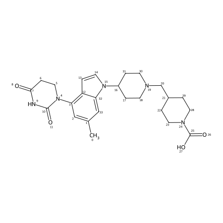 Cc1cc(N2CCC(=O)NC2=O)c2ccn(C3CCN(CC4CCN(C(=O)O)CC4)CC3)c2c1